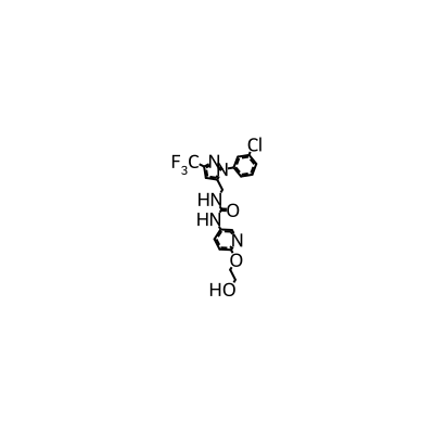 O=C(NCc1cc(C(F)(F)F)nn1-c1cccc(Cl)c1)Nc1ccc(OCCO)nc1